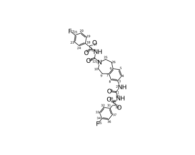 O=C(Nc1ccc2c(c1)CCN(C(=O)NS(=O)(=O)c1ccc(F)cc1)CC2)NS(=O)(=O)c1ccc(F)cc1